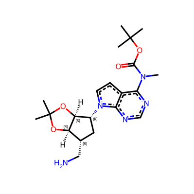 CN(C(=O)OC(C)(C)C)c1ncnc2c1ccn2[C@@H]1C[C@H](CN)[C@H]2OC(C)(C)O[C@H]21